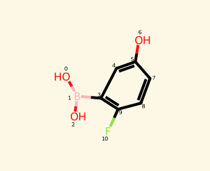 OB(O)c1cc(O)ccc1F